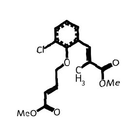 COC(=O)/C=C/COc1c(Cl)cccc1/C=C(\C)C(=O)OC